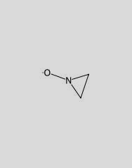 [O]N1CC1